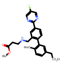 CCOC(=O)Cc1ccc(OC)c(-c2ccc(-c3ncc(F)cn3)cc2CNCCC(=O)OC(C)(C)C)c1